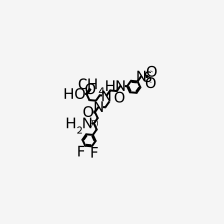 C.N[C@@H](CC(=O)N1CCN(CC(=O)Nc2cccc(N=S(=O)=O)c2)CC1CC(=O)O)Cc1ccc(F)c(F)c1